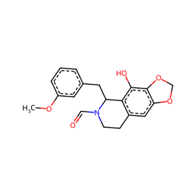 COc1cccc(CC2c3c(cc4c(c3O)OCO4)CCN2C=O)c1